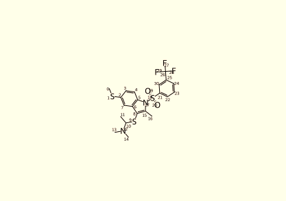 CSc1ccc2c(c1)c(SC(C)N(C)C)c(C)n2S(=O)(=O)c1cccc(C(F)(F)F)c1